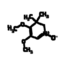 COC1=C(OC)C(C)(C)C[N+]([O-])=C1